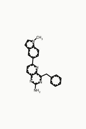 Cn1ccc2cc(-c3ccc4nc(N)nc(Cc5ccccc5)c4n3)ccc21